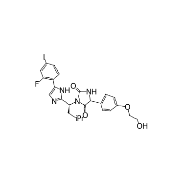 CC(C)C[C@@H](c1ncc(-c2ccc(I)cc2F)[nH]1)N1C(=O)NC(c2ccc(OCCO)cc2)C1=O